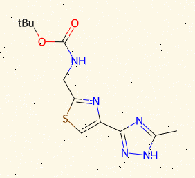 Cc1nc(-c2csc(CNC(=O)OC(C)(C)C)n2)n[nH]1